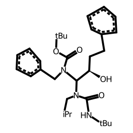 CC(C)CN(C(=O)NC(C)(C)C)C([C@H](O)CCc1ccccc1)N(Cc1ccccc1)C(=O)OC(C)(C)C